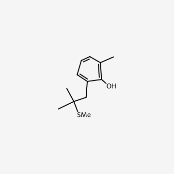 CSC(C)(C)Cc1cccc(C)c1O